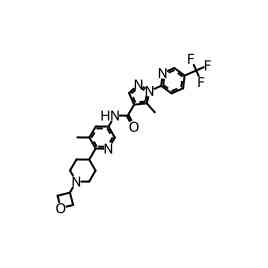 Cc1cc(NC(=O)c2cnn(-c3ccc(C(F)(F)F)cn3)c2C)cnc1C1CCN(C2COC2)CC1